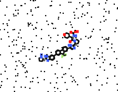 O=C(O)N[C@H](C(=O)N1CCC[C@H]1c1ncc(-c2ccc3c(c2)C(F)(F)c2cc(-c4ccc5nc([C@@H]6CCCN6)[nH]c5c4)ccc2-3)[nH]1)C1CCOCC1